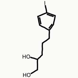 OCC(O)CCCc1ccc(I)cc1